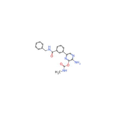 CNC(=O)Oc1nc(-c2cccc(C(=O)NCc3ccccc3)c2)cnc1N